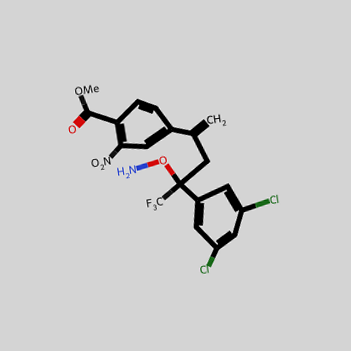 C=C(CC(ON)(c1cc(Cl)cc(Cl)c1)C(F)(F)F)c1ccc(C(=O)OC)c([N+](=O)[O-])c1